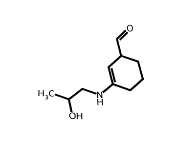 CC(O)CNC1=CC(C=O)CCC1